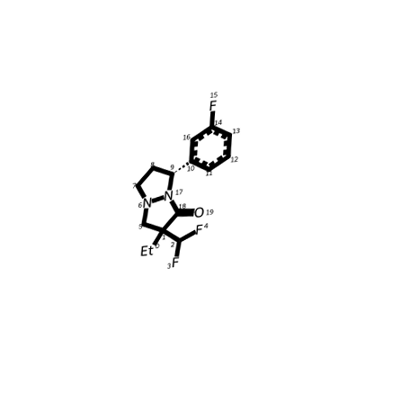 CCC1(C(F)F)CN2CC[C@H](c3cccc(F)c3)N2C1=O